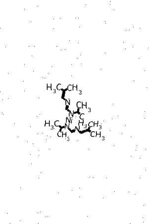 CC(C)=CN=C[N]([Ni][N](C=NC=C(C)C)C(C)C)C(C)C